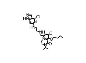 CCCCOc1c2n(c(CNCCNc3cc4[nH]ncc4c(Cl)n3)cc1=O)CCN(C(C)C)C2=O